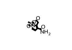 CS(=O)(=O)n1ccc(C(N)=O)c1CC=O